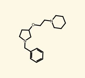 c1ccc(CN2CCC(OCCN3CCCCC3)C2)cc1